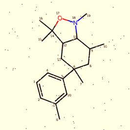 Cc1cccc(C2(C)CC(C)C3C(C2)C(C)(C)ON3C)c1